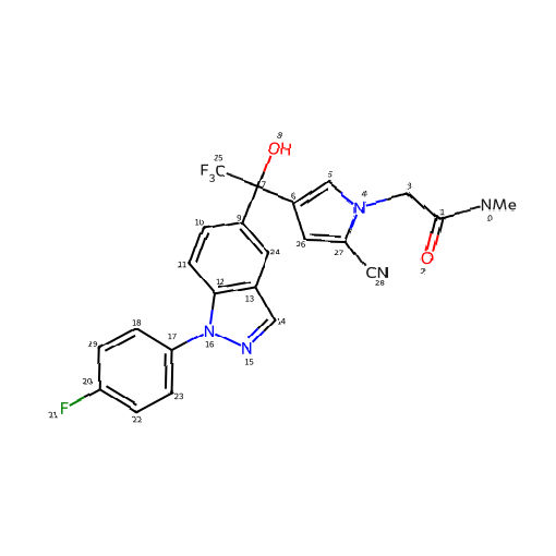 CNC(=O)Cn1cc(C(O)(c2ccc3c(cnn3-c3ccc(F)cc3)c2)C(F)(F)F)cc1C#N